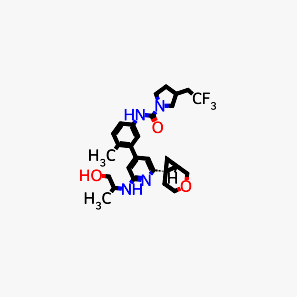 Cc1ccc(NC(=O)N2CCC(CC(F)(F)F)C2)cc1-c1cc(NC(C)CO)nc([C@@]23CCOC[C@@H]2C3)c1